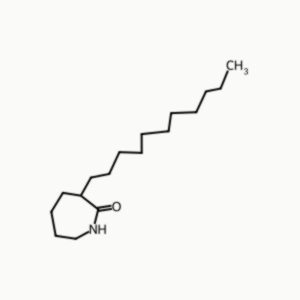 CCCCCCCCCCCC1CCCCNC1=O